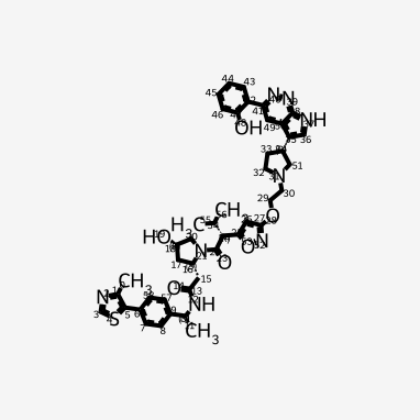 Cc1ncsc1-c1ccc([C@H](C)NC(=O)C[C@@H]2C[C@@H](O)CN2C(=O)[C@@H](c2cc(OCCN3CC[C@H](c4c[nH]c5nnc(-c6ccccc6O)cc45)C3)no2)C(C)C)cc1